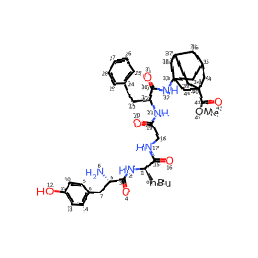 CCCC[C@@H](NC(=O)[C@@H](N)Cc1ccc(O)cc1)C(=O)NCC(=O)N[C@@H](Cc1ccccc1)C(=O)NC12CC3CC(C1)CC(C(=O)OC)(C3)C2